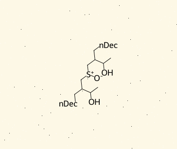 CCCCCCCCCCCC(C[S+]([O-])CC(CCCCCCCCCCC)C(C)O)C(C)O